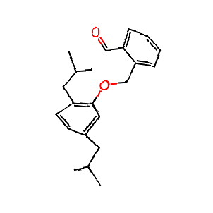 CC(C)Cc1ccc(CC(C)C)c(OCc2ccccc2C=O)c1